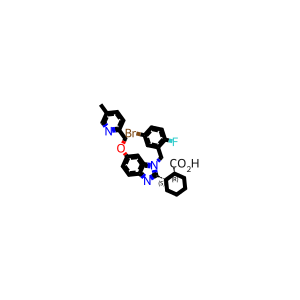 Cc1ccc(COc2ccc3nc([C@H]4CCCC[C@H]4C(=O)O)n(Cc4cc(Br)ccc4F)c3c2)nc1